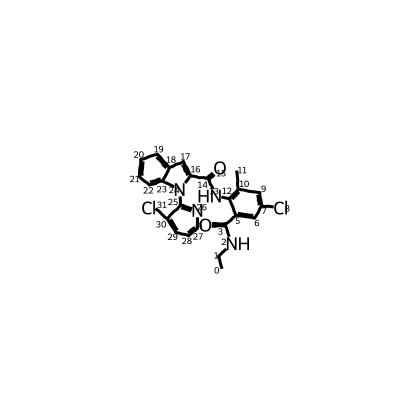 CCNC(=O)c1cc(Cl)cc(C)c1NC(=O)c1cc2ccccc2n1-c1ncccc1Cl